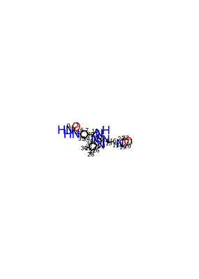 CNC(=O)Nc1ccc(-c2cnc3c(NCCCN4CCOCC4)nc4cc(C)c(C)cc4n23)cc1